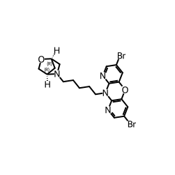 Brc1cnc2c(c1)Oc1cc(Br)cnc1N2CCCCCN1C[C@H]2C[C@@H]1CO2